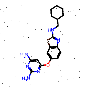 Nc1cc(Oc2ccc3nc(NCC4CCCCC4)sc3c2)nc(N)n1